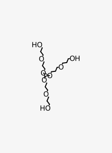 OCCCOCCCOP(OCCCOCCCO)OCCCOCCCO